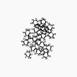 c1ccc(-c2ccc(N3c4cc([Si](c5ccccc5)(c5ccccc5)c5ccccc5)ccc4B4c5ccc([Si](c6ccccc6)(c6ccccc6)c6ccccc6)cc5N(c5cccc([Si](c6ccccc6)(c6ccccc6)c6ccccc6)c5)c5cc(N(c6ccccc6)c6ccccc6)cc3c54)cc2)cc1